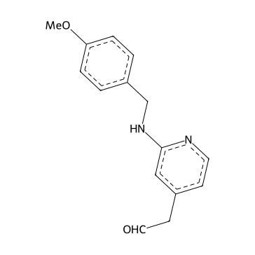 COc1ccc(CNc2cc(CC=O)ccn2)cc1